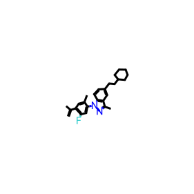 C=C(C)c1cc(C)c(-n2nc(C)c3cc(CCC4CCCCC4)ccc32)cc1F